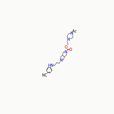 CC(=O)N1CCN(CCOC(=O)N2CC3CN(CCCNc4ccc(C#N)cc4)CC3C2)CC1